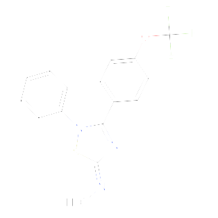 CN=c1nc(-c2ccc(OC(F)(F)F)cc2)n(-c2ccccc2)s1